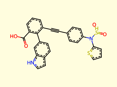 O=C(O)c1cccc(C#Cc2ccc(N(c3cccs3)[SH](=O)=O)cc2)c1-c1ccc2cc[nH]c2c1